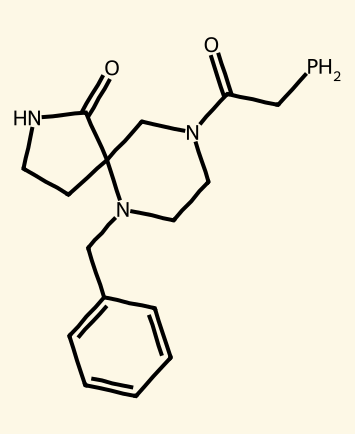 O=C(CP)N1CCN(Cc2ccccc2)C2(CCNC2=O)C1